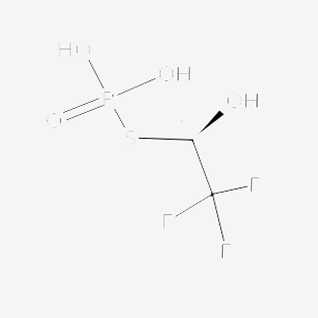 O=P(O)(O)S[C@@H](O)C(F)(F)F